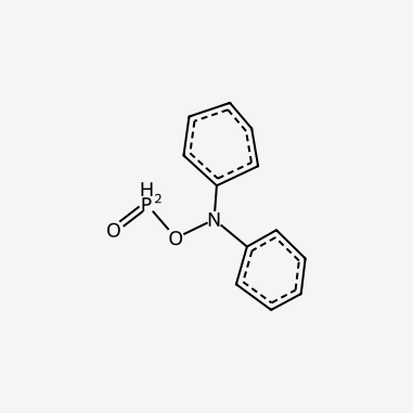 O=[PH2]ON(c1ccccc1)c1ccccc1